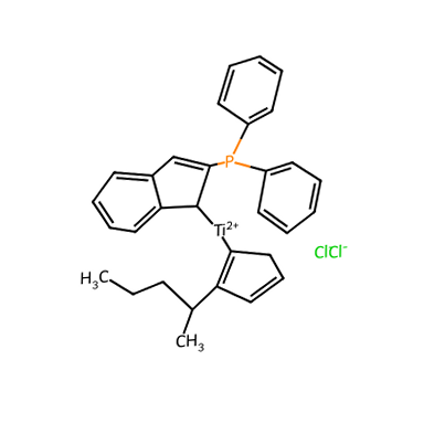 CCCC(C)C1=[C]([Ti+2][CH]2C(P(c3ccccc3)c3ccccc3)=Cc3ccccc32)CC=C1.[Cl-].[Cl-]